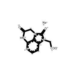 O=C([O-])Cn1c(=O)n2c3c(nccc31)NC(=O)C2.[Na+]